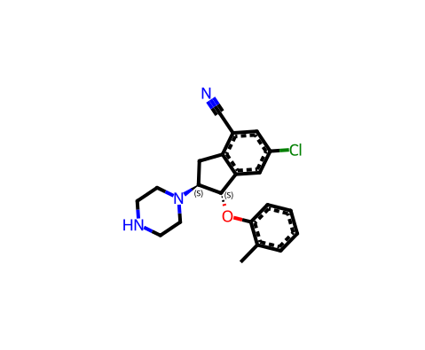 Cc1ccccc1O[C@H]1c2cc(Cl)cc(C#N)c2C[C@@H]1N1CCNCC1